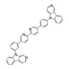 c1cc(-c2ccc(-c3ccc(-c4ccc(-n5c6ccccc6c6cnccc65)cc4)cn3)nc2)cc(-n2c3ccccc3c3ccncc32)c1